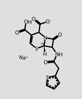 O=C(Cc1cccs1)NC1C(=O)N2C(C(=O)[O-])C(C(=O)O)=CS[C@@H]12.[Na+]